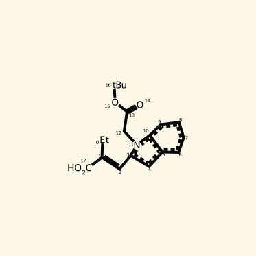 CC/C(=C\c1cc2ccccc2n1CC(=O)OC(C)(C)C)C(=O)O